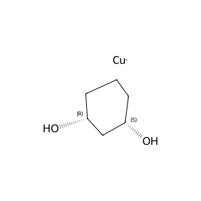 O[C@@H]1CCC[C@H](O)C1.[Cu]